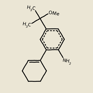 COC(C)(C)c1ccc(N)c(C2=CCCCC2)c1